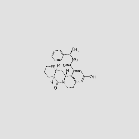 C[C@@H](NC(=O)c1cc(O)cc2c1[C@H]1C[C@@H]3NCCC[C@@H]3C(=O)N1CC2)c1ccccc1